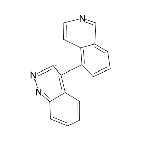 [c]1nnc2ccccc2c1-c1cccc2cnccc12